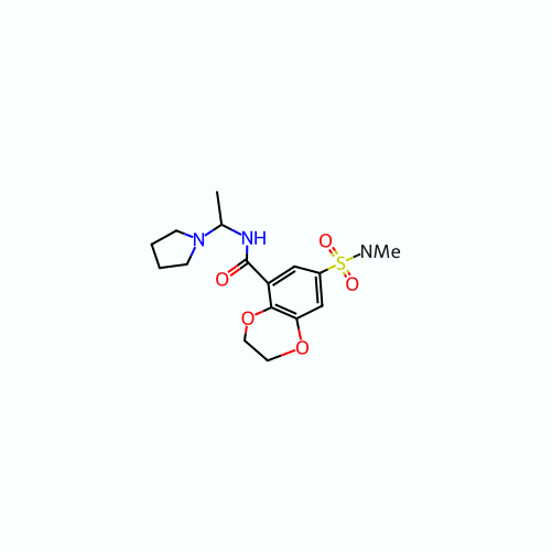 CNS(=O)(=O)c1cc2c(c(C(=O)NC(C)N3CCCC3)c1)OCCO2